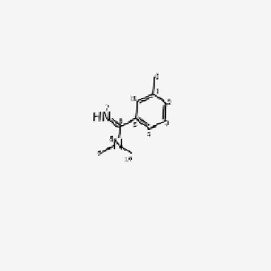 Cc1cccc(C(=N)N(C)C)c1